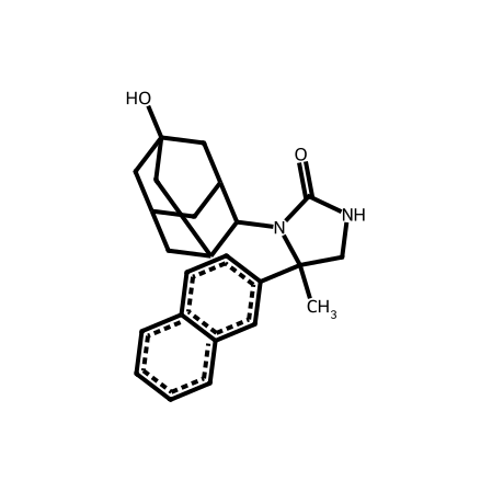 CC1(c2ccc3ccccc3c2)CNC(=O)N1C1C2CC3CC1CC(O)(C3)C2